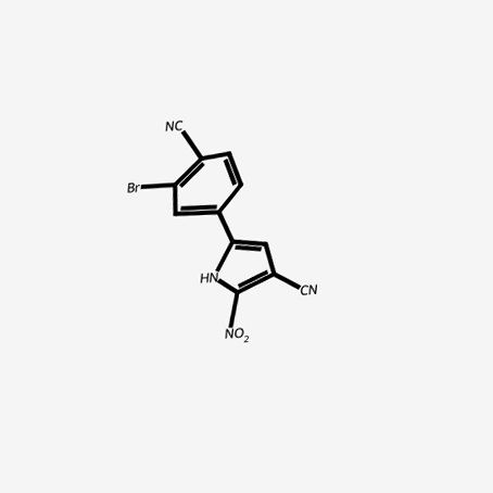 N#Cc1ccc(-c2cc(C#N)c([N+](=O)[O-])[nH]2)cc1Br